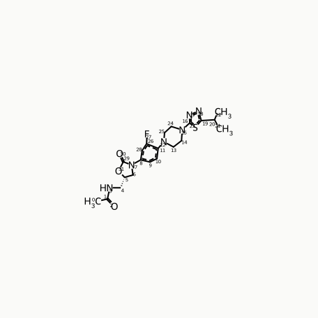 CC(=O)NC[C@H]1CN(c2ccc(N3CCN(c4nnc(C(C)C)s4)CC3)c(F)c2)C(=O)O1